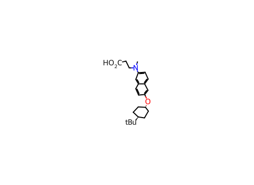 CN(CCC(=O)O)c1ccc2cc(O[C@H]3CC[C@H](C(C)(C)C)CC3)ccc2c1